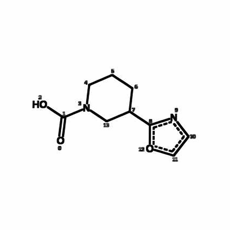 O=C(O)N1CCCC(c2ncco2)C1